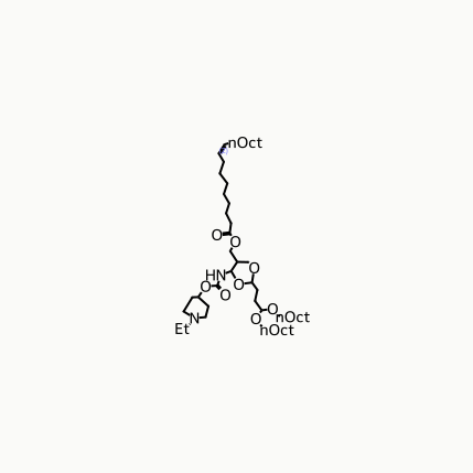 CCCCCCCC/C=C\CCCCCCCC(=O)OCC1COC(CCC(OCCCCCCCC)OCCCCCCCC)OC1NC(=O)OC1CCN(CC)CC1